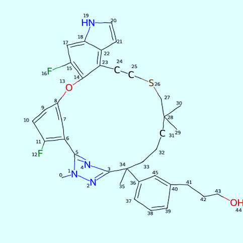 Cn1nc2nc1-c1cc(ccc1F)Oc1c(F)cc3[nH]ccc3c1CCSCC(C)(C)CCCC2(C)c1cccc(CCCO)c1